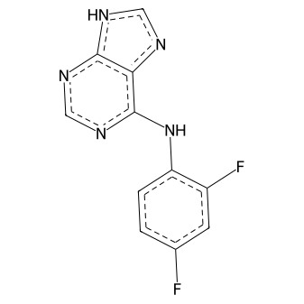 Fc1ccc(Nc2ncnc3[nH]cnc23)c(F)c1